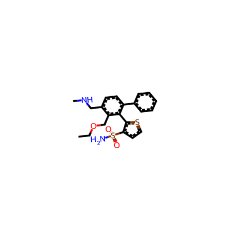 CCOCc1c(CNC)ccc(-c2ccccc2)c1-c1sccc1S(N)(=O)=O